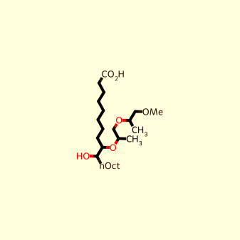 CCCCCCCCC(O)C(CCCCCCCC(=O)O)OC(C)COC(C)COC